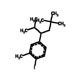 Cc1cc(C(CC(C)(C)C)C(C)C)ccc1I